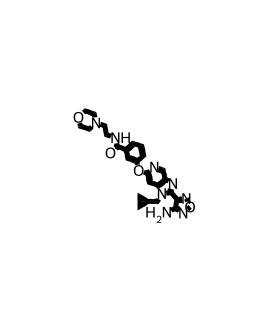 Nc1nonc1-c1nc2cnc(Oc3cccc(C(=O)NCCN4CCOCC4)c3)cc2n1CC1CC1